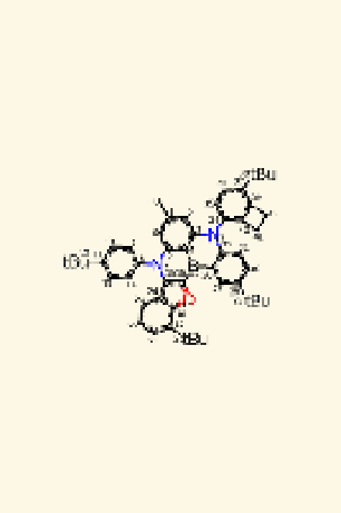 Cc1cc2c3c(c1)N(c1ccc(C(C)(C)C)cc1)c1c(oc4c(C(C)(C)C)cccc14)B3c1cc(C(C)(C)C)ccc1N2c1ccc(C(C)(C)C)c2c1CC2